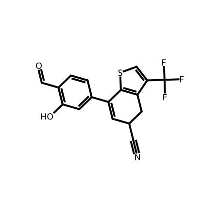 N#CC1C=C(c2ccc(C=O)c(O)c2)c2scc(C(F)(F)F)c2C1